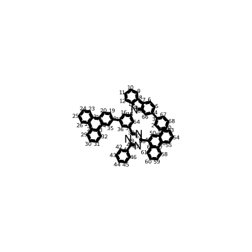 c1ccc(-c2ccc3c4ccccc4n(-c4cc(-c5ccc6c7ccccc7c7ccccc7c6c5)cc(-c5nc(-c6ccccc6)nc(-c6cc7ccccc7c7ccccc67)n5)c4)c3c2)cc1